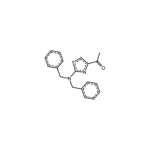 CC(=O)c1csc(N(Cc2ccccc2)Cc2ccccc2)n1